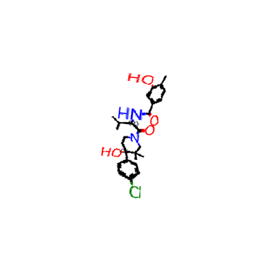 Cc1ccc(C(=O)N[C@@H](C(=O)N2CC[C@](O)(c3ccc(Cl)cc3)C(C)(C)C2)C(C)C)cc1O